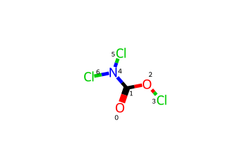 O=C(OCl)N(Cl)Cl